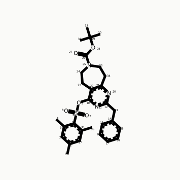 Cc1cc(C)c(S(=O)(=O)Oc2nc(Cc3ccccc3)nc3c2CCN(C(=O)OC(C)(C)C)CC3)c(C)c1